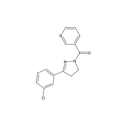 O=C(c1cccnc1)N1CCC(c2cccc(Cl)c2)=N1